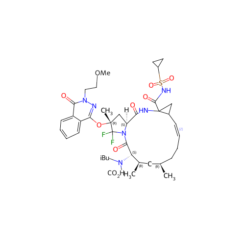 CCC(C)N(C(=O)O)[C@@H]1C(=O)N2[C@@H](C[C@@](C)(Oc3nn(CCOC)c(=O)c4ccccc34)C2(F)F)C(=O)NC2(C(=O)NS(=O)(=O)C3CC3)CC2/C=C\CC[C@@H](C)C[C@H]1C